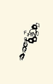 O=C(NC1CCc2ccc(C(=O)N3CCC4(CC3)CCN(c3ccncc3)CC4)cc21)c1cc(Cl)ccc1C(F)(F)F